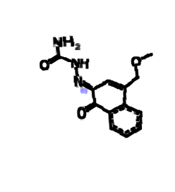 COCC1=C/C(=N\NC(N)=O)C(=O)c2ccccc21